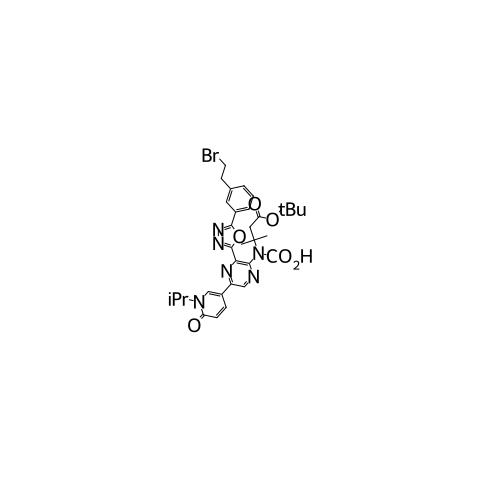 CC(C)n1cc(-c2cnc(N(C(=O)O)C(C)(C)CC(=O)OC(C)(C)C)c(-c3nnc(-c4cccc(CCBr)c4)o3)n2)ccc1=O